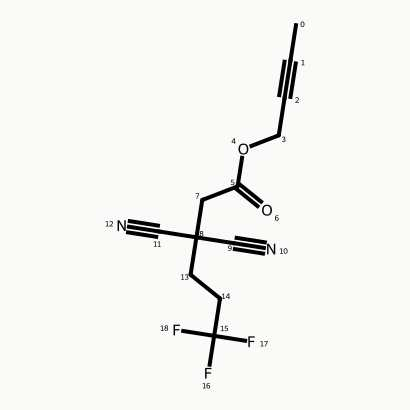 CC#CCOC(=O)CC(C#N)(C#N)CCC(F)(F)F